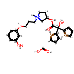 C[N+]1(CCCOc2cccc(O)c2)CCC(OC(=O)C(O)(c2cccs2)c2cccs2)C1.O=C[O-]